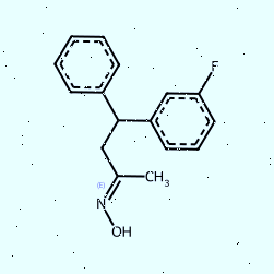 C/C(CC(c1ccccc1)c1cccc(F)c1)=N\O